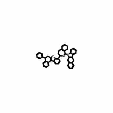 C1=CC=CC2=Cc3c(c4ccccc4n3C3NC(c4cccc5c6c(oc45)CC(c4ccccc4)c4ccccc4-6)CCC4=C3CCC=C4)CC=12